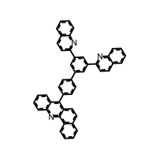 c1ccc2nc(-c3cc(-c4ccc(-c5c6ccccc6nc6c5ccc5ccccc56)cc4)cc(-c4ccc5ccccc5n4)c3)ccc2c1